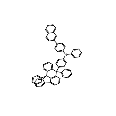 c1ccc(N(c2ccc(-c3ccc4ccccc4c3)cc2)c2ccc(C3(c4ccccc4)c4ccccc4C4(c5ccccc5)c5ccccc5-c5cccc3c54)cc2)cc1